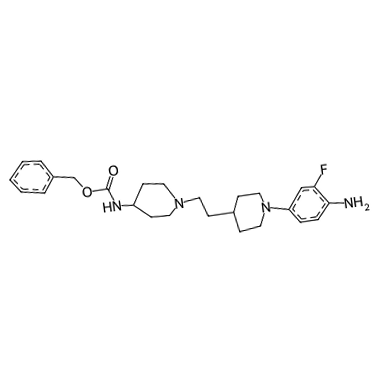 Nc1ccc(N2CCC(CCN3CCC(NC(=O)OCc4ccccc4)CC3)CC2)cc1F